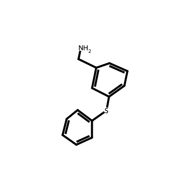 NCc1cccc(Sc2ccccc2)c1